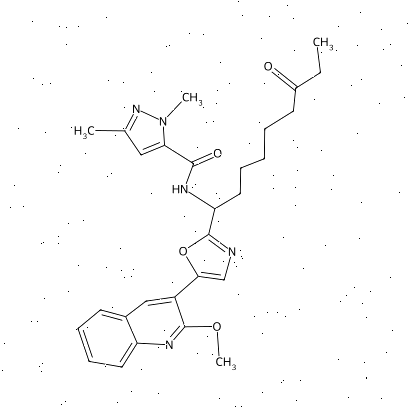 CCC(=O)CCCCCC(NC(=O)c1cc(C)nn1C)c1ncc(-c2cc3ccccc3nc2OC)o1